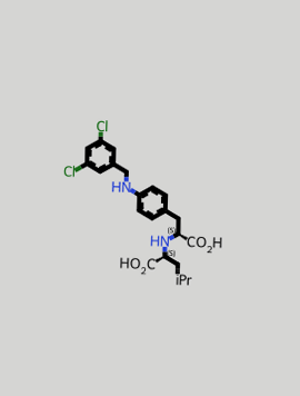 CC(C)C[C@H](N[C@@H](Cc1ccc(NCc2cc(Cl)cc(Cl)c2)cc1)C(=O)O)C(=O)O